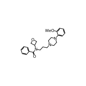 COc1ccccc1N1CCN(CCCN(C(=O)c2ccccc2)C2COC2)CC1